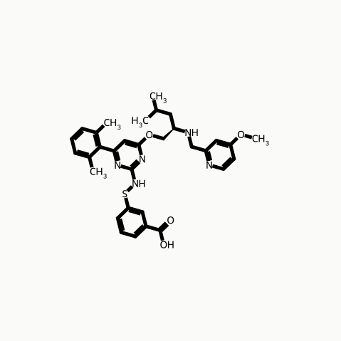 COc1ccnc(CN[C@@H](COc2cc(-c3c(C)cccc3C)nc(NSc3cccc(C(=O)O)c3)n2)CC(C)C)c1